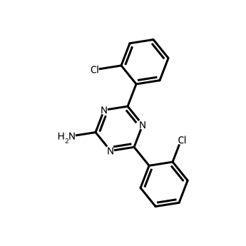 Nc1nc(-c2ccccc2Cl)nc(-c2ccccc2Cl)n1